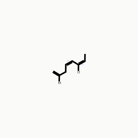 C=C(CC)C/C=C\C(Cl)=C/C